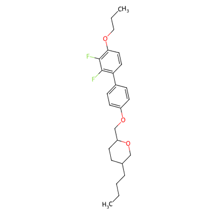 CCCCC1CCC(COc2ccc(-c3ccc(OCCC)c(F)c3F)cc2)OC1